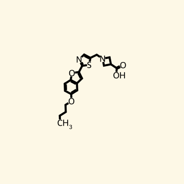 CCCCOc1ccc2oc(-c3ncc(CN4CC(C(=O)O)C4)s3)cc2c1